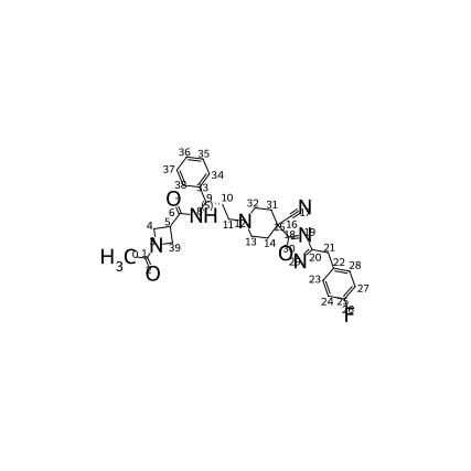 CC(=O)N1CC(C(=O)N[C@@H](CCN2CCC(C#N)(c3nc(Cc4ccc(F)cc4)no3)CC2)c2ccccc2)C1